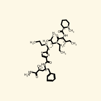 CCCO[C@H](C[C@H](C(C)C)N(CCC)C(=O)[C@@H](NC(=O)[C@H]1CCCCN1C)[C@@H](C)CC)c1nc(C(=O)N[C@@H](Cc2ccccc2)C[C@H](C)C(=O)NN)cs1